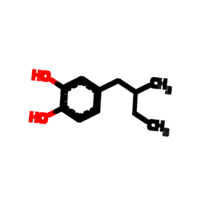 CCC(C)Cc1ccc(O)c(O)c1